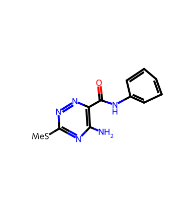 CSc1nnc(C(=O)Nc2ccccc2)c(N)n1